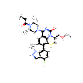 C=CC(=O)N1[C@H](C)CN(c2nc(=O)n3c4c(c(-c5ccc(F)c6cnn(C)c56)c(C)cc24)SCC3COC)C[C@@H]1C